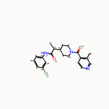 Cc1cnccc1C(=O)N1CCC(C(C)C(=O)Nc2cccc(Cl)c2)CC1